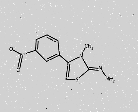 Cn1c(-c2cccc([N+](=O)[O-])c2)csc1=NN